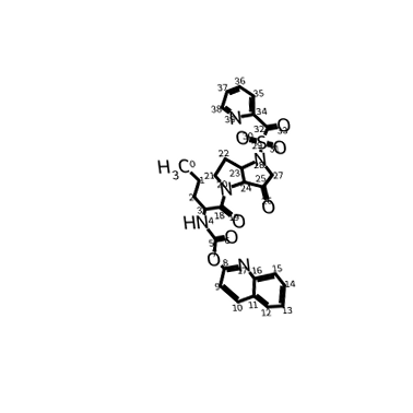 CCCC(NC(=O)Oc1ccc2ccccc2n1)C(=O)N1CCC2C1C(=O)CN2S(=O)(=O)C(=O)c1ccccn1